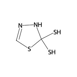 SC1(S)NN=CS1